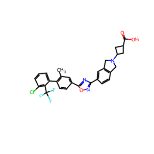 Cc1cc(-c2nc(-c3ccc4c(c3)CN(C3CC(C(=O)O)C3)C4)no2)ccc1-c1cccc(Cl)c1C(F)(F)F